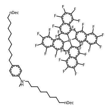 CCCCCCCCCCCCCCCCCCCc1ccc([NH+](C)CCCCCCCCCCCCCCCCCC)cc1.Fc1c(F)c(F)c2c(F)c([B-](c3c(F)c(F)c4c(F)c(F)c(F)c(F)c4c3F)(c3c(F)c(F)c4c(F)c(F)c(F)c(F)c4c3F)c3c(F)c(F)c4c(F)c(F)c(F)c(F)c4c3F)c(F)c(F)c2c1F